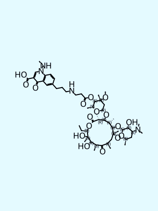 CC[C@H]1OC(=O)[C@H](C)[C@@H](O[C@H]2C[C@@](C)(OC)[C@@H](OC(=O)CCNCCCc3ccc4c(c3)c(=O)c(C(=O)O)cn4NC)[C@H](C)O2)[C@H](C)[C@@H](O[C@@H]2O[C@H](C)C[C@H](N(C)C)[C@H]2O)[C@](C)(OC)C[C@@H](C)C(=O)[C@@H](C)[C@@H](O)[C@]1(C)O